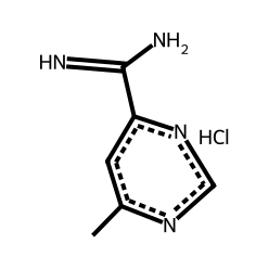 Cc1cc(C(=N)N)ncn1.Cl